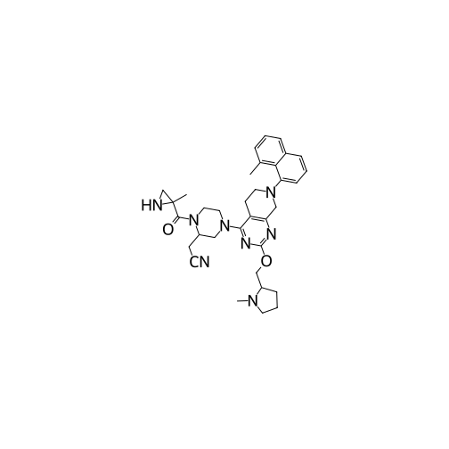 Cc1cccc2cccc(N3CCc4c(nc(OCC5CCCN5C)nc4N4CCN(C(=O)C5(C)CN5)C(CC#N)C4)C3)c12